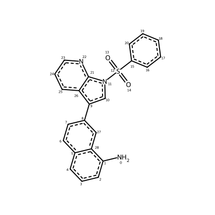 Nc1cccc2ccc(-c3cn(S(=O)(=O)c4ccccc4)c4ncccc34)cc12